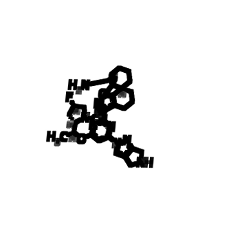 C[C@H](Oc1cc(-n2cc3c(n2)CNC3)nc(-c2noc3c2CCC[C@@]32CCCc3sc(N)c(C#N)c32)n1)[C@@H]1C[C@@H](F)CN1C